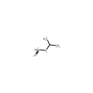 CC(C)[O][GeH]=[O]